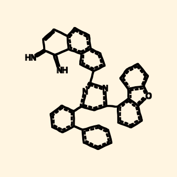 N=C1C=Cc2ccc3ccc(-c4nc(-c5ccccc5-c5ccccc5)cc(-c5cccc6oc7ccccc7c56)n4)cc3c2C1=N